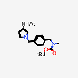 CC(=O)NC1CCN(Cc2ccc(CN(C)C(=O)OC(C)(C)C)cc2)C1